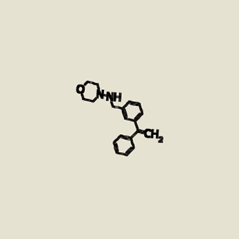 C=C(c1ccccc1)c1cccc(CNN2CCOCC2)c1